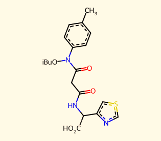 Cc1ccc(N(OCC(C)C)C(=O)CC(=O)NC(C(=O)O)c2cscn2)cc1